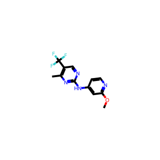 COc1cc(Nc2ncc(C(F)(F)F)c(C)n2)ccn1